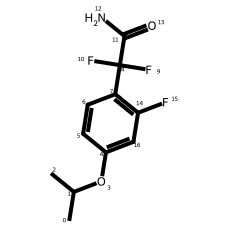 CC(C)Oc1ccc(C(F)(F)C(N)=O)c(F)c1